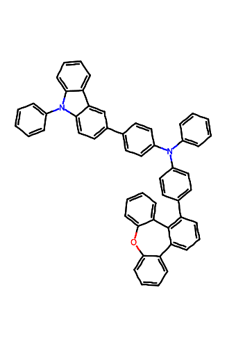 c1ccc(N(c2ccc(-c3ccc4c(c3)c3ccccc3n4-c3ccccc3)cc2)c2ccc(-c3cccc4c3-c3ccccc3Oc3ccccc3-4)cc2)cc1